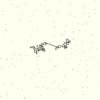 C#Cc1c(F)ccc2cc(O)cc(-c3ncc4c(N5CC6CCC(C5)N6)nc(OC5CCN(CCCCCCCCCC(=O)N6CCC(c7ccc8c(C9CCC(=O)NC9=O)nn(C)c8c7)CC6)CC5)nc4c3F)c12